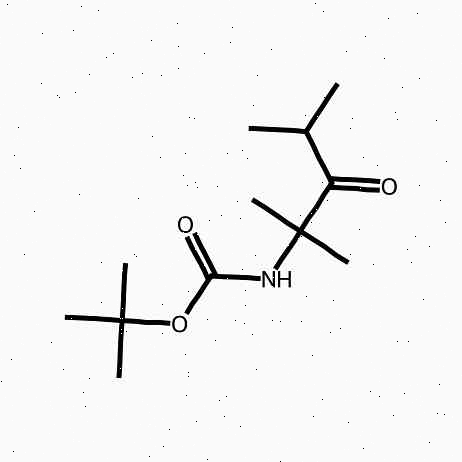 CC(C)C(=O)C(C)(C)NC(=O)OC(C)(C)C